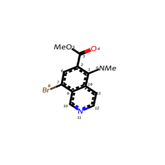 CNc1c(C(=O)OC)cc(Br)c2cnccc12